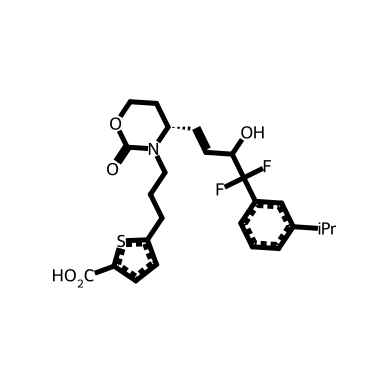 CC(C)c1cccc(C(F)(F)C(O)C=C[C@H]2CCOC(=O)N2CCCc2ccc(C(=O)O)s2)c1